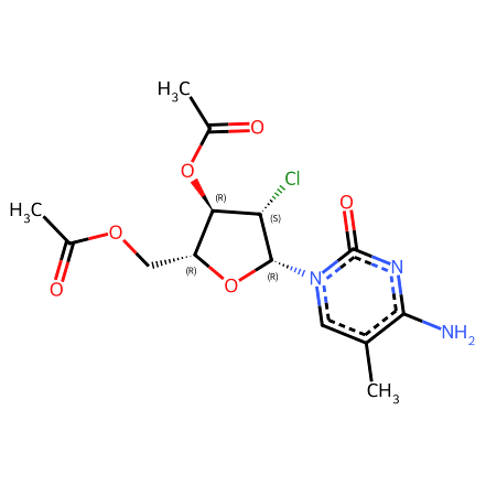 CC(=O)OC[C@H]1O[C@@H](n2cc(C)c(N)nc2=O)[C@@H](Cl)[C@@H]1OC(C)=O